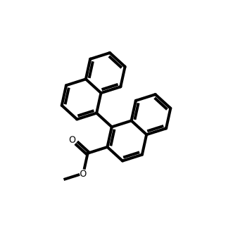 COC(=O)c1ccc2ccccc2c1-c1cccc2ccccc12